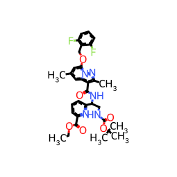 CCOC(=O)c1cccc(C(CNC(=O)OC(C)(C)C)NC(=O)c2c(C)nn3c(OCc4c(F)cccc4F)cc(C)cc23)n1